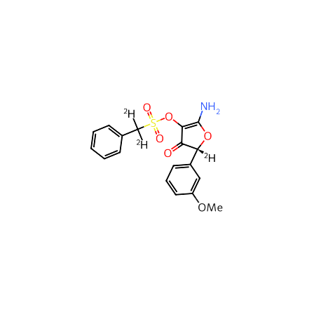 [2H]C([2H])(c1ccccc1)S(=O)(=O)OC1=C(N)O[C@]([2H])(c2cccc(OC)c2)C1=O